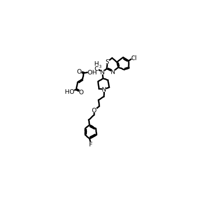 CN(C1=Nc2ccc(Cl)cc2CS1)C1CCN(CCCOCCc2ccc(F)cc2)CC1.O=C(O)/C=C/C(=O)O